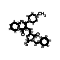 CN1CCN(c2nc3ccccn3c(=O)c2/C=C2\SC(=S)N(Cc3ccccc3)C2=O)CC1